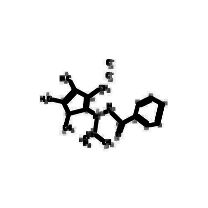 CC1=C(C)C(C)[C]([Hf+2]([NH]C(=O)c2ccccc2)[SiH](C)C)=C1C.[Cl-].[Cl-]